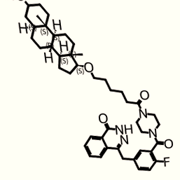 C[C@]12CCC(O)C[C@@H]1CC[C@@H]1[C@@H]2CC[C@]2(C)[C@@H](OCCCCCC(=O)N3CCN(C(=O)c4cc(Cc5n[nH]c(=O)c6ccccc56)ccc4F)CC3)CC[C@@H]12